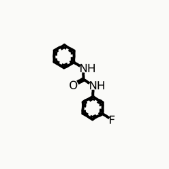 O=C(Nc1ccccc1)Nc1cccc(F)c1